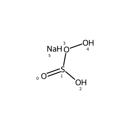 O=S(O)OO.[NaH]